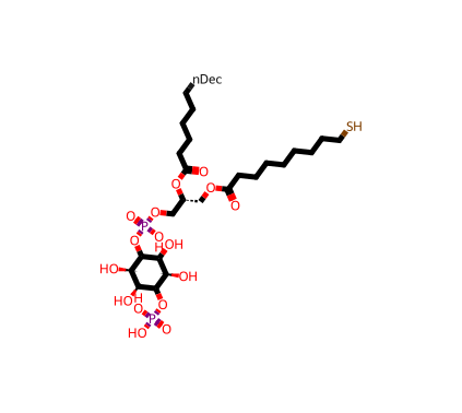 CCCCCCCCCCCCCCCC(=O)O[C@H](COC(=O)CCCCCCCCS)COP(=O)(O)OC1C(O)[C@@H](O)C(OP(=O)(O)O)[C@@H](O)[C@H]1O